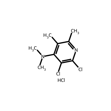 Cc1nc(Cl)c(Cl)c(N(C)C)c1C.Cl